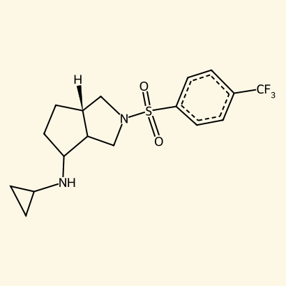 O=S(=O)(c1ccc(C(F)(F)F)cc1)N1CC2C(NC3CC3)CC[C@@H]2C1